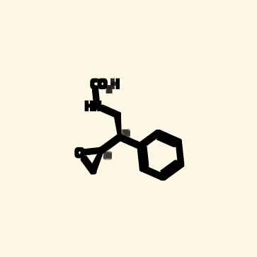 O=C(O)NC[C@@H](c1ccccc1)[C@H]1CO1